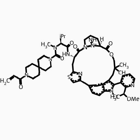 C=CC(=O)N1CCC2(CC1)CCN(C(=O)N(C)[C@H](C(=O)N[C@H]1Cc3nc(cs3)-c3ccc4c(c3)c(c(-c3cccnc3C(C)OC)n4CC)CC(C)(C)COC(=O)[C@@H]3CCCN(C1=O)[N+]3=N)C(C)C)CC2